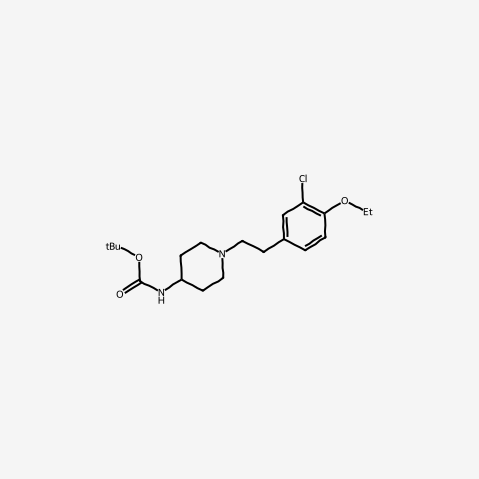 CCOc1ccc(CCN2CCC(NC(=O)OC(C)(C)C)CC2)cc1Cl